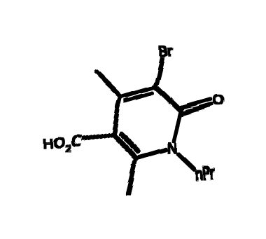 CCCn1c(C)c(C(=O)O)c(C)c(Br)c1=O